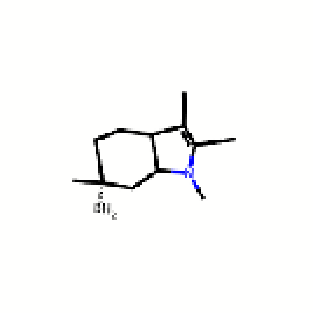 B[C@]1(C)CCC2C(C)=C(C)N(C)C2C1